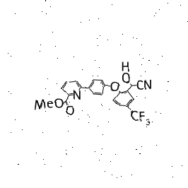 COC(=O)c1cccc(-c2ccc(Oc3ccc(C(F)(F)F)cc3C(O)C#N)cc2)n1